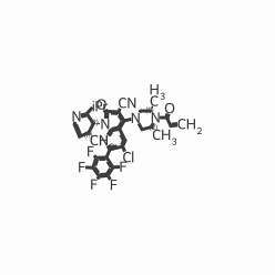 C=CC(=O)N1[C@H](C)CN(c2c(C#N)c(=O)n([C@H]3C(C(C)C)=NC=C[C@H]3C)c3nc(-c4c(F)c(F)c(F)c(F)c4F)c(Cl)cc23)C[C@@H]1C